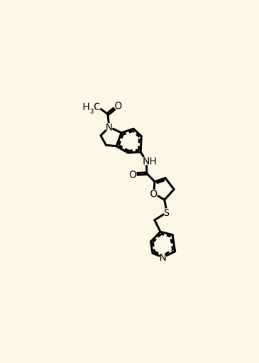 CC(=O)N1CCc2cc(NC(=O)C3=CCC(SCc4ccncc4)O3)ccc21